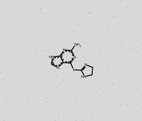 Nc1nc(SC2=NCCN2)c2nc[nH]c2n1